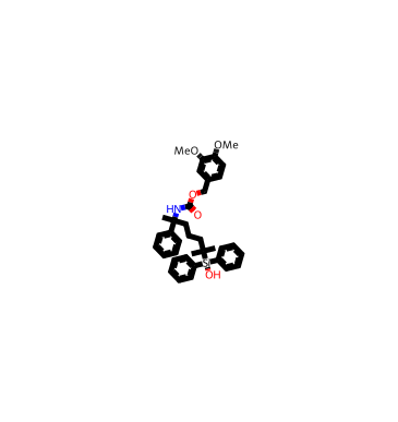 COc1ccc(COC(=O)NC(C)(CCCC(C)(C)[Si](O)(c2ccccc2)c2ccccc2)c2ccccc2)cc1OC